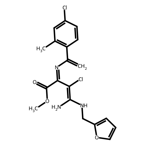 C=C(/N=C(C(=O)OC)\C(Cl)=C(/N)NCc1ccco1)c1ccc(Cl)cc1C